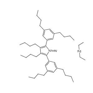 CCCCC1=C(c2cc(CCCC)cc(CCCC)c2)[N+](=[N-])C(c2cc(CCCC)cc(CCCC)c2)=C1CCCC.C[CH2][Pd][CH2]C